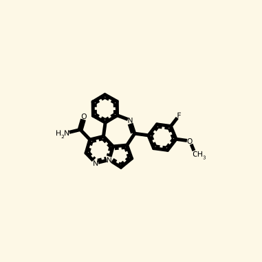 COc1ccc(C2=Nc3ccccc3-c3c(C(N)=O)cnn4ccc2c34)cc1F